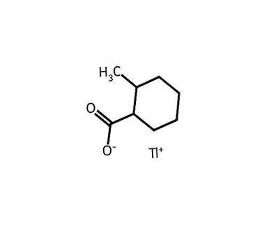 CC1CCCCC1C(=O)[O-].[Tl+]